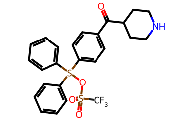 O=C(c1ccc(S(OS(=O)(=O)C(F)(F)F)(c2ccccc2)c2ccccc2)cc1)C1CCNCC1